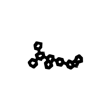 C1=CCCC(c2cc(C3=CCCC=C3)nc(-c3ccc(-c4ccc(-c5ccc6sc7ccccc7c6c5)cc4)c4ccccc34)n2)=C1